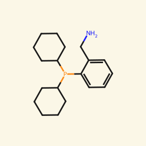 NCc1ccccc1P(C1CCCCC1)C1CCCCC1